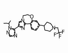 CC(C)n1ncnc1-c1cn2c(n1)-c1ccc(C3CCN(CC(F)(F)F)CC3)cc1OCC2